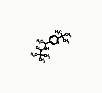 CC(N[S@+]([O-])C(C)(C)C)c1ccc(C(C)(C)C)nc1